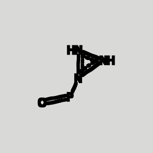 O=Pn1[nH][nH]1